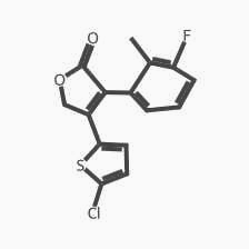 Cc1c(F)cccc1C1=C(c2ccc(Cl)s2)COC1=O